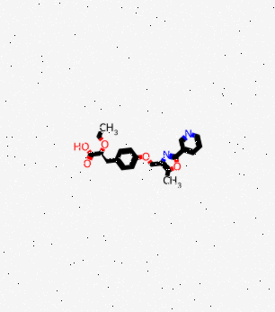 CCO[C@@H](Cc1ccc(OCc2nc(-c3cccnc3)oc2C)cc1)C(=O)O